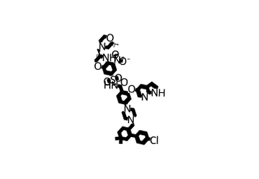 C[C@@H]1CN(C[C@@H]2COc3cc(S(=O)(=O)NC(=O)c4ccc(N5CCN(CC6=C(c7ccc(Cl)cc7)CC(C)(C)CC6)CC5)cc4Oc4cnc5[nH]ccc5c4)cc([N+](=O)[O-])c3N2)CCO1